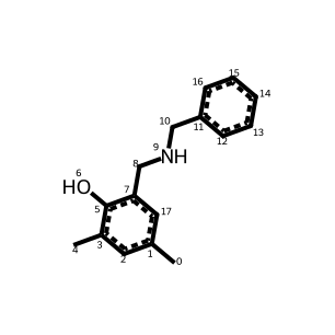 Cc1cc(C)c(O)c(CNCc2ccccc2)c1